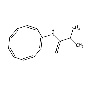 CC(C)C(=O)Nc1ccccccccc1